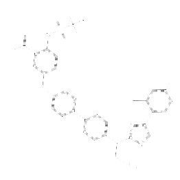 CCC(c1ccc(-c2ccc(Oc3ccc(NS(=O)(=O)C(F)(F)F)c(C(=O)O)c3)cc2)cc1)c1nc(-c2ccc(Cl)cc2Cl)c[nH]1